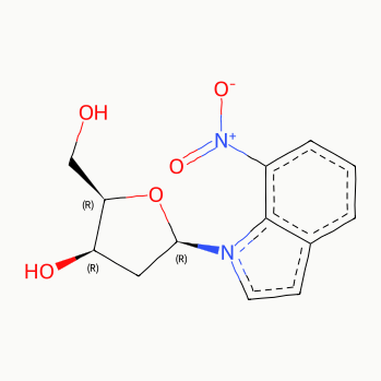 O=[N+]([O-])c1cccc2ccn([C@H]3C[C@@H](O)[C@@H](CO)O3)c12